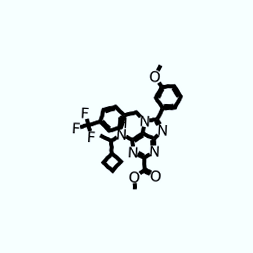 COC(=O)c1nc(NC(C)C2CCC2)c2c(n1)nc(-c1cccc(OC)c1)n2Cc1ccc(C(F)(F)F)cc1